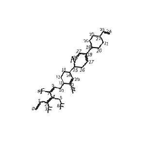 C=C/C(F)=C(CF)\C(F)=C/CC1CCC(C2CC=C(C3CCC(C=C)CC3)C=N2)C=C1F